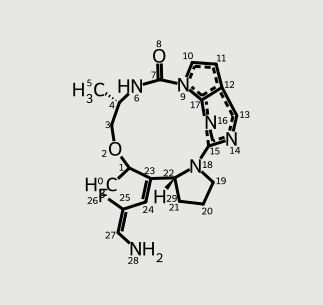 CC1OC[C@H](C)NC(=O)n2ccc3cnc(nc32)N2CCC[C@@H]2/C1=C/C(F)=C\N